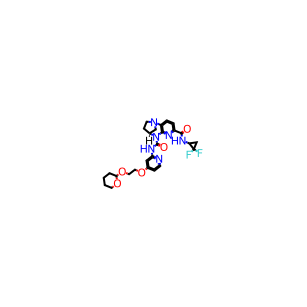 O=C(NC1CC1(F)F)c1ccc2c(n1)N(C(=O)Nc1cc(OCCOC3CCCCO3)ccn1)[C@H]1CCN2C1